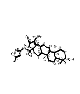 Cc1cc(NC(=O)C23CCC4C(CCC5[C@@]4(C)CCC4C(C)(C)[C@@H](O)CC[C@@]45C)C2=C(C(C)C)C(=O)C3)no1